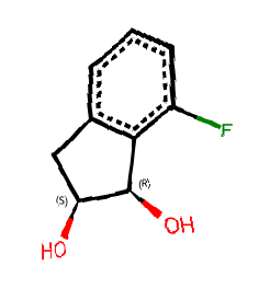 O[C@@H]1c2c(F)cccc2C[C@@H]1O